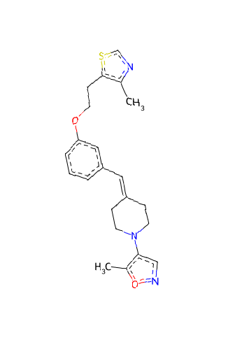 Cc1ncsc1CCOc1cccc(C=C2CCN(c3cnoc3C)CC2)c1